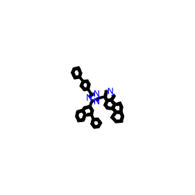 c1ccc(-c2ccc(-c3nc(-c4cc(-c5ccccc5)c5ccccc5c4)nc(-c4cncc5c4ccc4c6ccccc6ccc54)n3)cc2)cc1